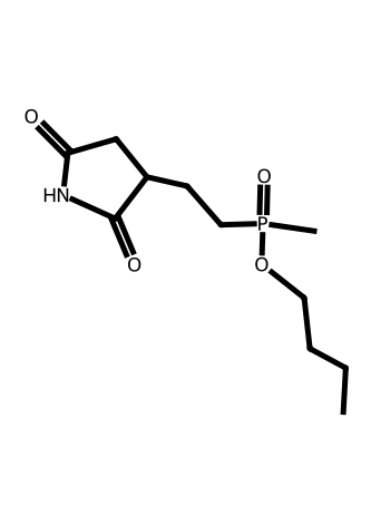 CCCCOP(C)(=O)CCC1CC(=O)NC1=O